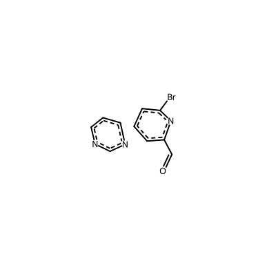 O=Cc1cccc(Br)n1.c1cncnc1